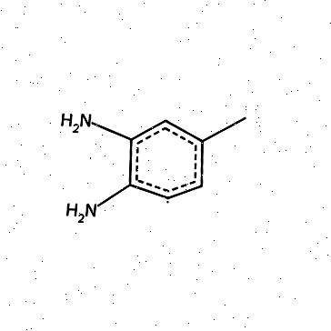 Cc1c[c]c(N)c(N)c1